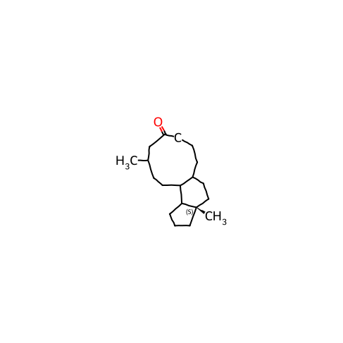 CC1CCC2C(CCCC(=O)C1)CC[C@]1(C)CCCC21